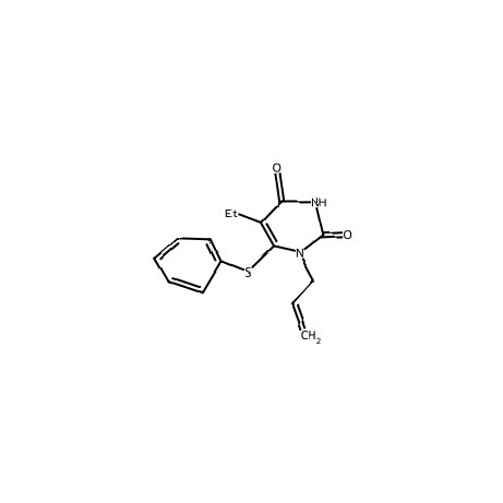 C=CCn1c(Sc2ccccc2)c(CC)c(=O)[nH]c1=O